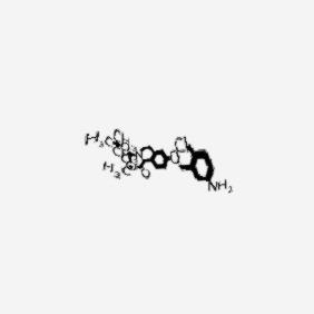 COC(=O)C1c2ccc(OCc3cc(N)ccc3Cl)cc2CCN1C(=O)OC(C)(C)C